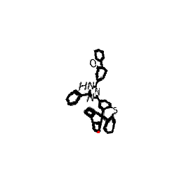 c1ccc(C2=NC(c3ccc4c(c3)C3(c5ccccc5S4)c4ccccc4-c4ccccc43)=NC(c3ccc4c(c3)oc3ccccc34)N2)cc1